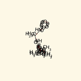 C=CC/C(=C/CCCCNC(=O)CCCCC(F)(F)C(F)(F)OC(F)(F)C(F)(F)S(=O)(=O)OC1[C@H](OCC[Si](C)(C)C)OC2COC(C)(C)O[C@H]2[C@@H]1OCOCC)C/C(=C/CCCCNC(=O)c1ccc2c(c1)OCCOCCOCCOCCOCCO2)CC